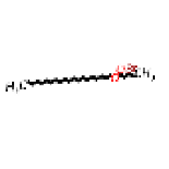 CCCCCCCCCCCCCCCCCCCCOC(=O)CC(Br)CC